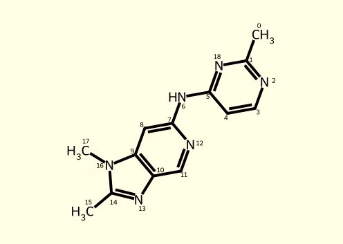 Cc1nccc(Nc2cc3c(cn2)nc(C)n3C)n1